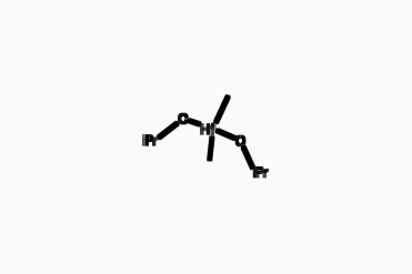 CC(C)[O][Hf]([CH3])([CH3])[O]C(C)C